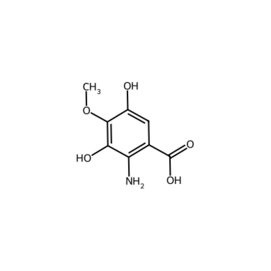 COc1c(O)cc(C(=O)O)c(N)c1O